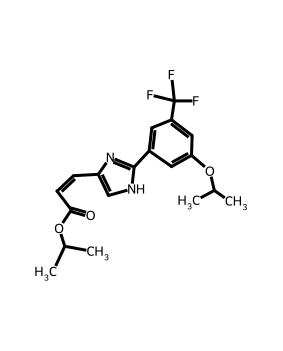 CC(C)OC(=O)/C=C\c1c[nH]c(-c2cc(OC(C)C)cc(C(F)(F)F)c2)n1